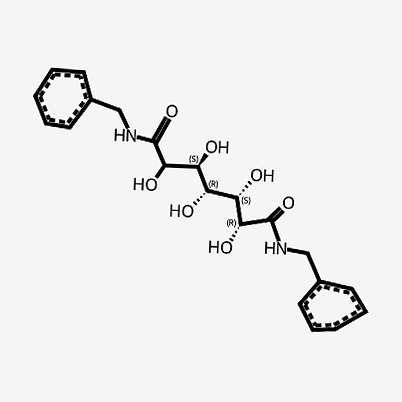 O=C(NCc1ccccc1)C(O)[C@@H](O)[C@@H](O)[C@H](O)[C@@H](O)C(=O)NCc1ccccc1